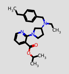 CCc1ccc(CN(CC)[C@H]2CCN(c3ncccc3C(=O)OC(C)C)C2)cc1